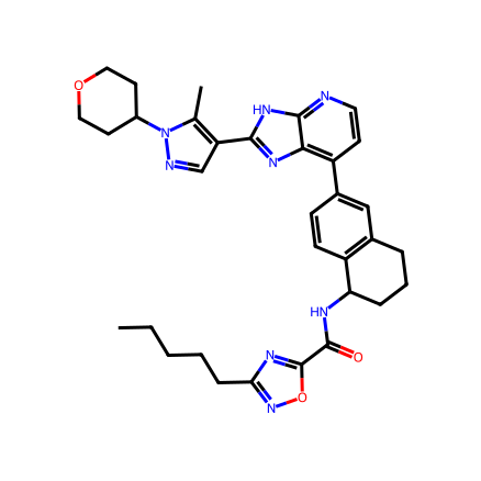 CCCCCc1noc(C(=O)NC2CCCc3cc(-c4ccnc5[nH]c(-c6cnn(C7CCOCC7)c6C)nc45)ccc32)n1